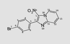 O=[N+]([O-])c1c(-c2ccc(Br)cc2)nc2ccccn12